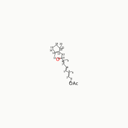 CC(=O)OC/C=C(C)/C=C/C=C(\C)C(=O)CC1=C(C)CCCC1(C)C